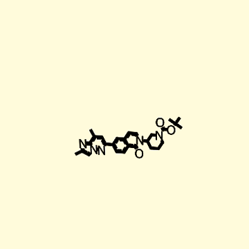 Cc1cn2nc(-c3ccc4c(=O)n(C5CCCN(C(=O)OC(C)(C)C)C5)ccc4c3)cc(C)c2n1